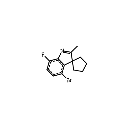 CC1=Nc2c(F)ccc(Br)c2C12CCCC2